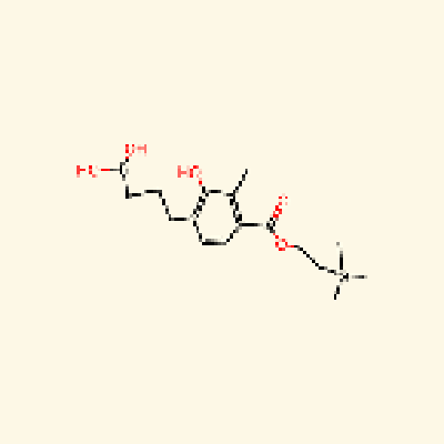 Cc1c(C(=O)OCC[Si](C)(C)C)ccc(CCCB(O)O)c1O